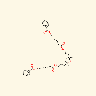 C[Si](C)(CCCOC(=O)CCCCCOC(=O)C1CC2C=CC1C2)O[Si](C)(C)CCCOC(=O)CCCCCOC(=O)C1CC2C=CC1C2